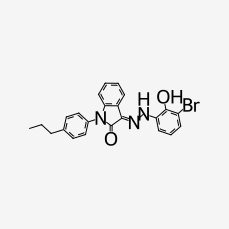 CCCc1ccc(N2C(=O)/C(=N/Nc3cccc(Br)c3O)c3ccccc32)cc1